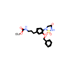 CC(C)(C)OC(=O)NCCCc1ccc(N2CC(=O)NS2(=O)=O)c(OCc2ccccc2)c1